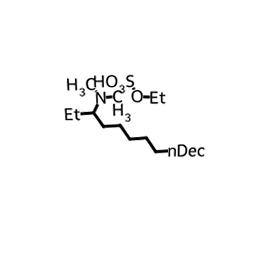 CCCCCCCCCCCCCCCC(CC)N(C)C.CCOS(=O)(=O)O